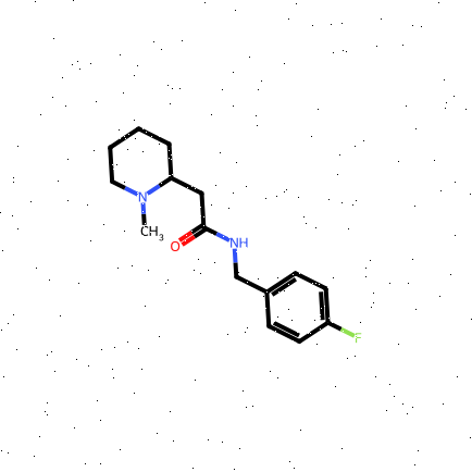 CN1CCCCC1CC(=O)NCc1ccc(F)cc1